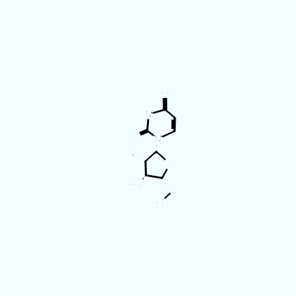 O=c1ccn([C@@H]2O[C@H](CO)[C@@H](O)[C@@H]2S)c(=O)[nH]1